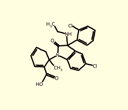 CCNC1(c2ccccc2Cl)C(=O)N(C2(C)CC=CC=C2C(=O)O)c2ccc(Cl)cc21